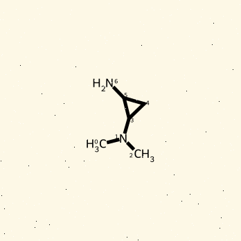 CN(C)C1CC1N